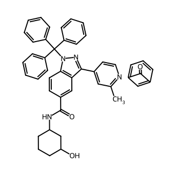 Cc1cc(-c2nn(C(c3ccccc3)(c3ccccc3)c3ccccc3)c3ccc(C(=O)NC4CCCC(O)C4)cc23)ccn1.O=C1c2cccc1c2